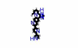 Cc1cccc(-c2[nH]cnc2-c2ccc3ncc(-c4ccc(C5=CCNC5)nc4)cc3c2)n1